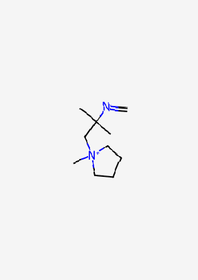 C=NC(C)(C)C[N+]1(C)CCCC1